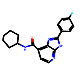 O=C(NC1CCCCC1)c1ccnc2[nH]c(-c3ccc(F)cc3)nc12